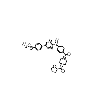 COc1ccc(-c2cnc(Nc3ccc(C(=O)N4CCN(C(=O)C5CCCO5)CC4)cc3)nc2)cc1